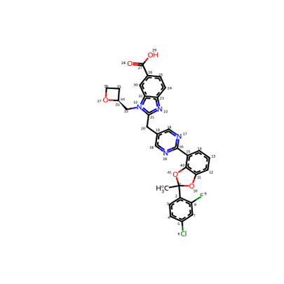 CC1(c2ccc(Cl)cc2F)Oc2cccc(-c3ncc(Cc4nc5ccc(C(=O)O)cc5n4C[C@@H]4CCO4)cn3)c2O1